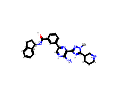 CCn1nc(-c2nc(-c3cccc(C(=O)N[C@@H]4CCc5ccccc54)c3)cnc2N)nc1C1CCCNC1